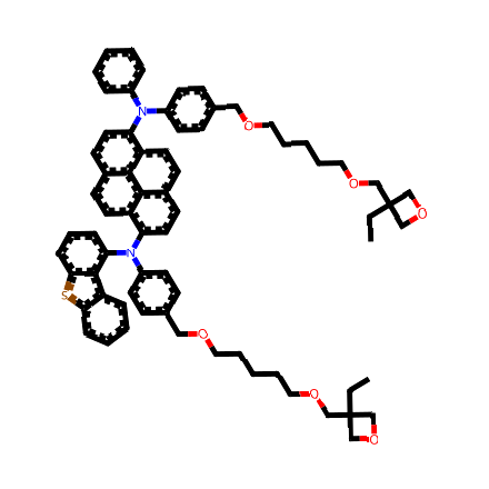 CCC1(COCCCCCOCc2ccc(N(c3ccccc3)c3ccc4ccc5c(N(c6ccc(COCCCCCOCC7(CC)COC7)cc6)c6cccc7sc8ccccc8c67)ccc6ccc3c4c65)cc2)COC1